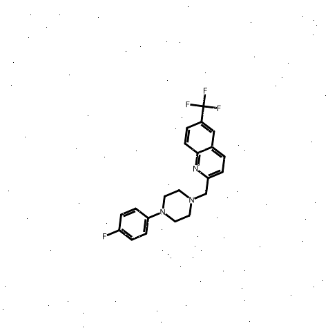 Fc1ccc(N2CCN(Cc3ccc4cc(C(F)(F)F)ccc4n3)CC2)cc1